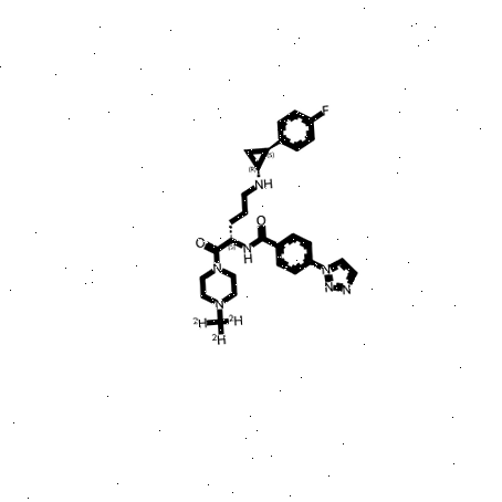 [2H]C([2H])([2H])N1CCN(C(=O)[C@H](CCCN[C@@H]2C[C@H]2c2ccc(F)cc2)NC(=O)c2ccc(-n3ccnn3)cc2)CC1